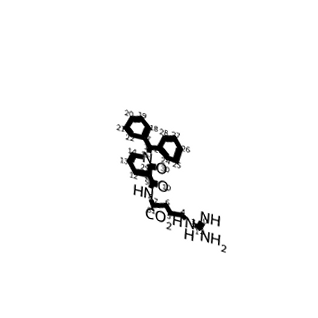 N=C(N)NCCC[C@@H](NC(=O)c1cccn(C(c2ccccc2)c2ccccc2)c1=O)C(=O)O